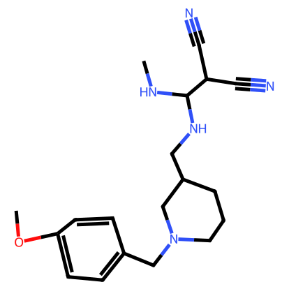 CNC(NCC1CCCN(Cc2ccc(OC)cc2)C1)C(C#N)C#N